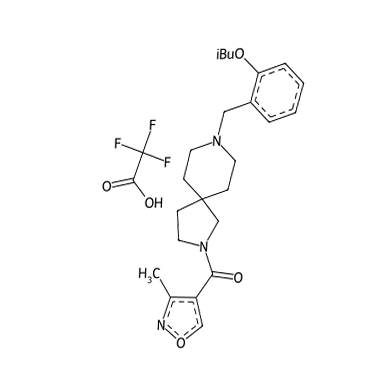 Cc1nocc1C(=O)N1CCC2(CCN(Cc3ccccc3OCC(C)C)CC2)C1.O=C(O)C(F)(F)F